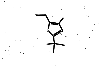 CCc1sc(C(C)(C)C)cc1C